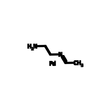 CC=NCCN.[Pd]